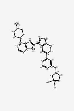 CN1CCN(c2nccc3[nH]c(-c4n[nH]c5ncc(-c6cncc(CN7CCC(F)(F)C7)c6)cc45)nc23)CC1